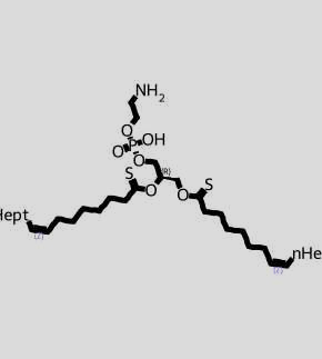 CCCCCCC/C=C\CCCCCCC(=S)OC[C@H](COP(=O)(O)OCCN)OC(=S)CCCCCC/C=C\CCCCCCC